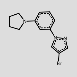 Brc1cnn(-c2cccc(N3CCCC3)c2)c1